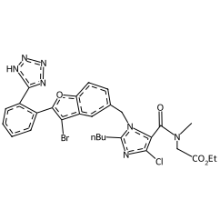 CCCCc1nc(Cl)c(C(=O)N(C)CC(=O)OCC)n1Cc1ccc2oc(-c3ccccc3-c3nnn[nH]3)c(Br)c2c1